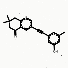 Cc1cc(O)cc(C#Cc2cnc3c(c2)C(=O)CC(C)(C)C3)c1